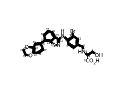 O=C(O)[C@@H](CO)NCc1ccc(Nc2nsc3c(-c4ccc5c(c4)OCCO5)cccc23)c(Br)c1